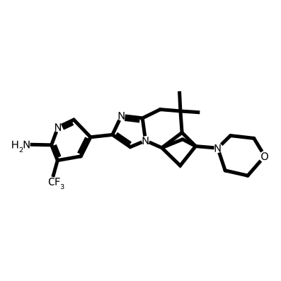 CC1(C)Cc2nc(-c3cnc(N)c(C(F)(F)F)c3)cn2C23CC(N4CCOCC4)(C2)C13